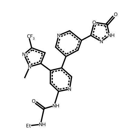 CCNC(=O)Nc1cc(-c2cc(C(F)(F)F)nn2C)c(-c2cncc(-c3n[nH]c(=O)o3)c2)cn1